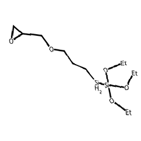 CCO[Si](OCC)(OCC)[SiH2]CCCOCC1CO1